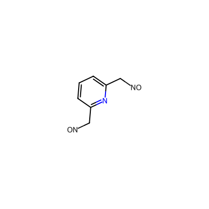 O=NCc1cccc(CN=O)n1